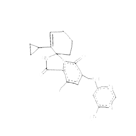 Cc1cc(Nc2cc(N)ncn2)c(=O)n2c1C(=O)NC21CCCC=C1C1CC1